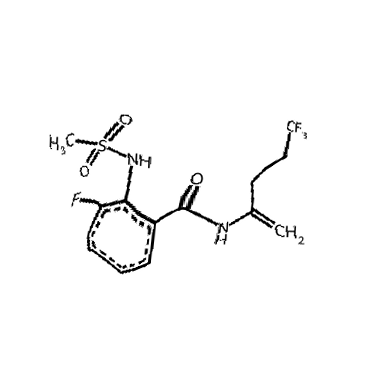 C=C(CCC(F)(F)F)NC(=O)c1cccc(F)c1NS(C)(=O)=O